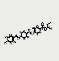 CCC(C)OC(=O)c1ccc(OCC2CCC(C=Cc3ccc(C)cc3)CC2)cc1